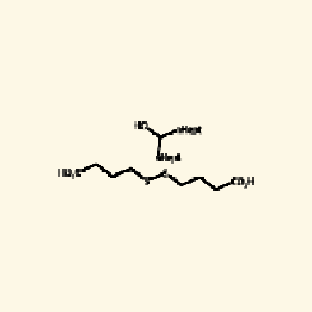 CCCCCCCC(O)CCCCCCC.O=C(O)CCCSSCCCC(=O)O